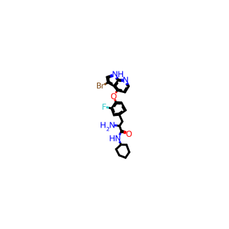 NC(Cc1ccc(Oc2ccnc3[nH]cc(Br)c23)c(F)c1)C(=O)NC1CCCCC1